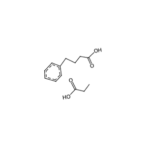 CCC(=O)O.O=C(O)CCCc1ccccc1